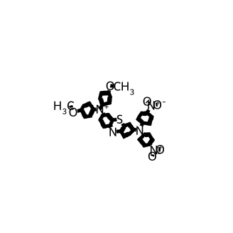 COc1ccc([N+](c2ccc(OC)cc2)=c2ccc3nc4ccc(N(c5ccc([N+](=O)[O-])cc5)c5ccc([N+](=O)[O-])cc5)cc4sc-3c2)cc1